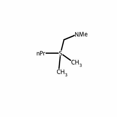 CCCS(C)(C)CNC